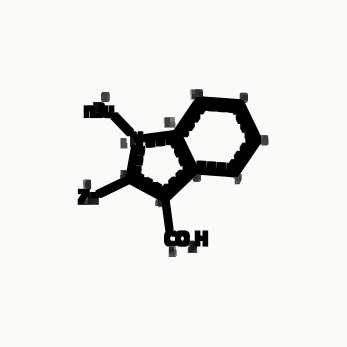 CCCCn1[c]([Zn])c(C(=O)O)c2ccccc21